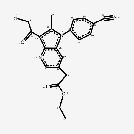 CCOC(=O)Cc1cnc2c(C(=O)CCl)c(C)n(-c3ccc(C#N)cc3)c2c1